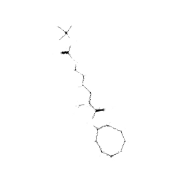 CC(C)(C)OC(=O)NCCCC[C@H](N)C(=O)OC1CCCCCCC1